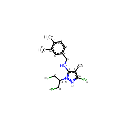 Cc1ccc(CNc2c(C#N)c(Br)nn2C(CF)CF)cc1C